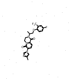 Cc1cn(-c2ccc3n(c2=O)CCN(C(C)COc2ccc(F)cc2C(F)(F)F)C3=O)cn1